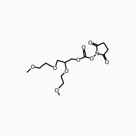 COCCOCC(COC(=O)ON1C(=O)CCC1=O)OCCOC